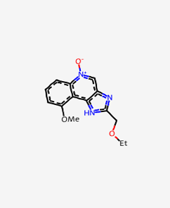 CCOCc1nc2c[n+]([O-])c3cccc(OC)c3c2[nH]1